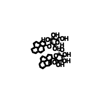 OC[C@H]1O[C@@H](O)[C@H](Oc2ccc3ccc4cccc5ccc2c3c45)[C@@H](O)[C@H]1O.OC[C@H]1O[C@](O)(c2ccc3ccc4cccc5ccc2c3c45)[C@H](O)[C@@H](O)[C@H]1O